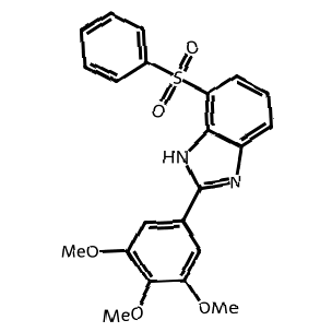 COc1cc(-c2nc3cccc(S(=O)(=O)c4ccccc4)c3[nH]2)cc(OC)c1OC